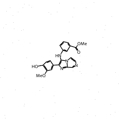 COC(=O)c1cccc(Nc2c(-c3ccc(O)c(OC)c3)nc3cnccn23)c1